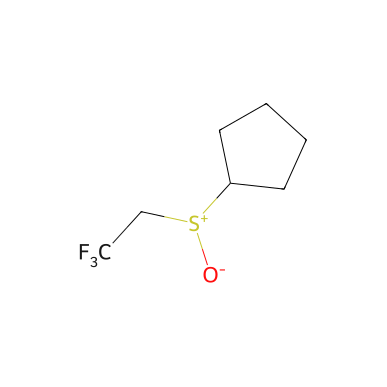 [O-][S+](CC(F)(F)F)C1CCCC1